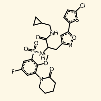 COc1c(N2CCCCC2=O)cc(F)cc1S(=O)(=O)[AsH]C(Cc1cc(-c2ccc(Cl)s2)on1)C(=O)NCC1CC1